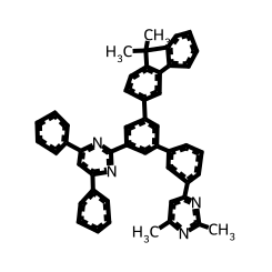 Cc1cc(-c2cccc(-c3cc(-c4ccc5c(c4)-c4ccccc4C5(C)C)cc(-c4nc(-c5ccccc5)cc(-c5ccccc5)n4)c3)c2)nc(C)n1